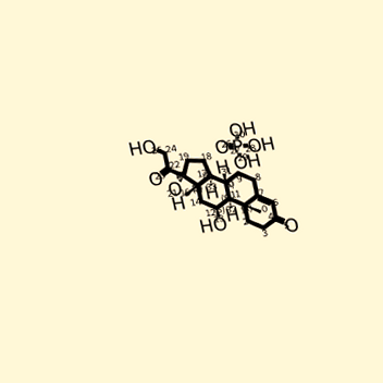 C[C@]12CCC(=O)C=C1CC[C@@H]1[C@@H]2[C@@H](O)C[C@@]2(C)[C@H]1CC[C@]2(O)C(=O)CO.O=P(O)(O)O